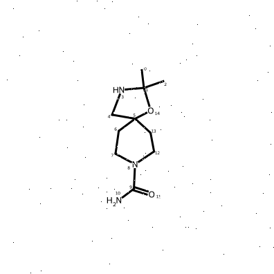 CC1(C)NCC2(CCN(C(N)=O)CC2)O1